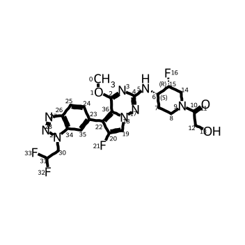 COc1nc(N[C@H]2CCN(C(=O)CO)C[C@H]2F)nn2cc(F)c(-c3ccc4nnn(CC(F)F)c4c3)c12